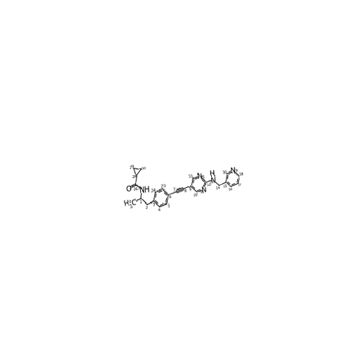 CC(Cc1ccc(C#Cc2cnc(NCc3cccnc3)nc2)cc1)NC(=O)C1CC1